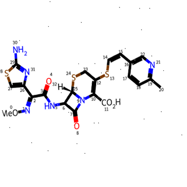 CON=C(C(=O)NC1C(=O)N2C(C(=O)O)=C(S/C=C\c3ccc(C)nc3)CS[C@@H]12)c1csc(N)n1